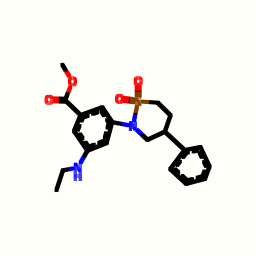 CCNc1cc(C(=O)OC)cc(N2CC(c3ccccc3)CCS2(=O)=O)c1